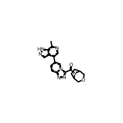 Cc1ncc(-c2ccc3nnc(C(=O)N4C5CCC4COC5)n3c2)c2cn[nH]c12